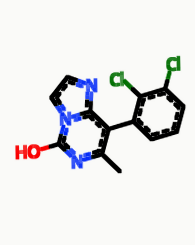 Cc1nc(O)n2ccnc2c1-c1cccc(Cl)c1Cl